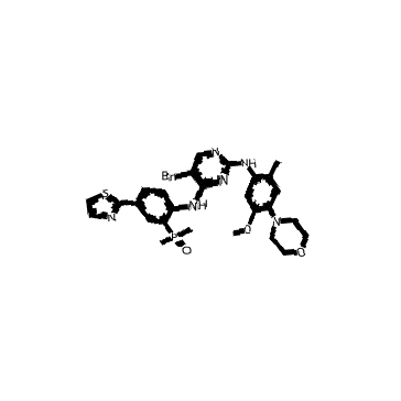 COc1cc(Nc2ncc(Br)c(Nc3ccc(-c4nccs4)cc3P(C)(C)=O)n2)c(C)cc1N1CCOCC1